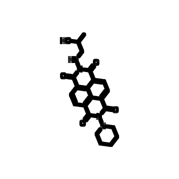 CC(O)CNN1C(=O)c2ccc3c4c(ccc(c24)C1=O)C(=O)N(N1CCCCC1)C3=O